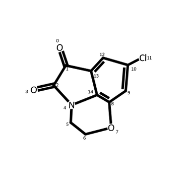 O=C1C(=O)N2CCOc3cc(Cl)cc1c32